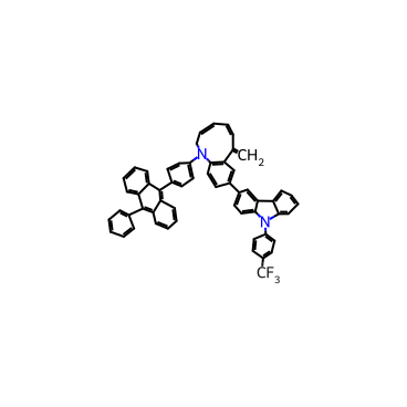 C=C1/C=C\C=C/CN(c2ccc(-c3c4ccccc4c(-c4ccccc4)c4ccccc34)cc2)c2ccc(-c3ccc4c(c3)c3ccccc3n4-c3ccc(C(F)(F)F)cc3)cc21